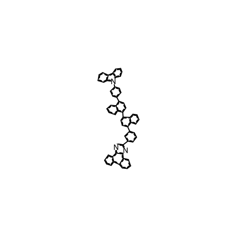 c1cc(-c2cnc3c4ccccc4c4ccccc4c3n2)cc(-c2ccc(-c3ccc(-c4ccc(-n5c6ccccc6c6ccccc65)cc4)c4ccccc34)c3ccccc23)c1